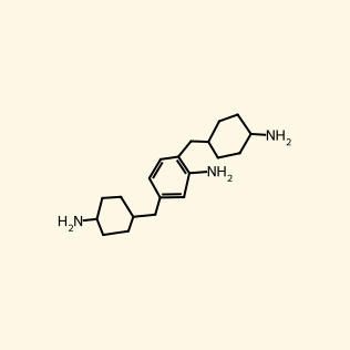 Nc1cc(CC2CCC(N)CC2)ccc1CC1CCC(N)CC1